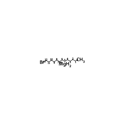 CCCCCCCCCCCCCBr.[MgH2]